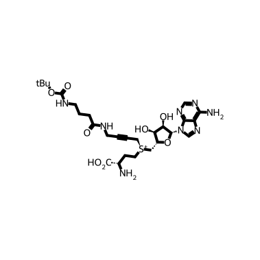 CC(C)(C)OC(=O)NCCCC(=O)NCC#CC[S@+](CC[C@H](N)C(=O)O)C[C@H]1O[C@@H](n2cnc3c(N)ncnc32)[C@H](O)[C@@H]1O